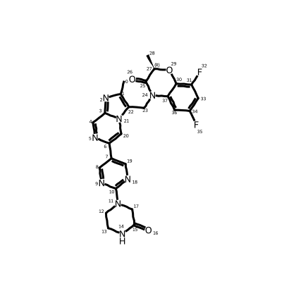 Cc1nc2cnc(-c3cnc(N4CCNC(=O)C4)nc3)cn2c1CN1C(=O)[C@@H](C)Oc2c(F)cc(F)cc21